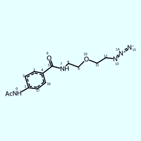 CC(=O)Nc1ccc(C(=O)NCCOCCN=[N+]=[N-])cc1